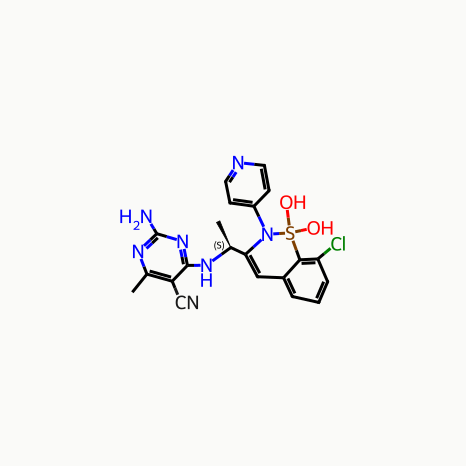 Cc1nc(N)nc(N[C@@H](C)C2=Cc3cccc(Cl)c3S(O)(O)N2c2ccncc2)c1C#N